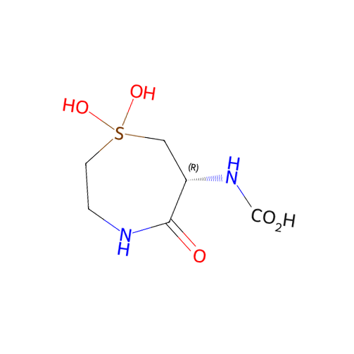 O=C(O)N[C@H]1CS(O)(O)CCNC1=O